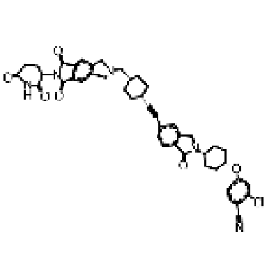 N#Cc1ccc(O[C@H]2CC[C@H](N3Cc4cc(C#C[C@H]5CC[C@H](CN6Cc7cc8c(cc7C6)C(=O)N(C6CCC(=O)NC6=O)C8=O)CC5)ccc4C3=O)CC2)cc1Cl